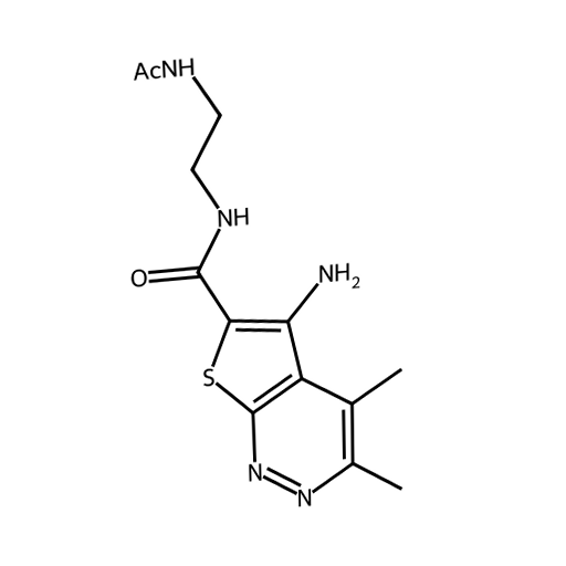 CC(=O)NCCNC(=O)c1sc2nnc(C)c(C)c2c1N